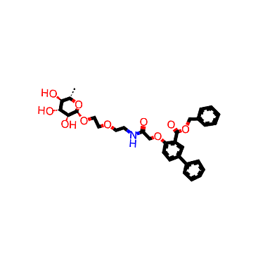 C[C@@H]1O[C@@H](OCCOCCNC(=O)COc2ccc(-c3ccccc3)cc2C(=O)OCc2ccccc2)[C@H](O)[C@H](O)[C@H]1O